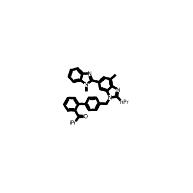 CCCc1nc2c(C)cc(-c3nc4ccccc4n3C)cc2n1Cc1ccc(-c2ccccc2C(=O)C(C)C)cc1